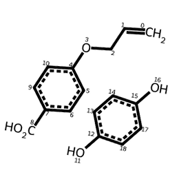 C=CCOc1ccc(C(=O)O)cc1.Oc1ccc(O)cc1